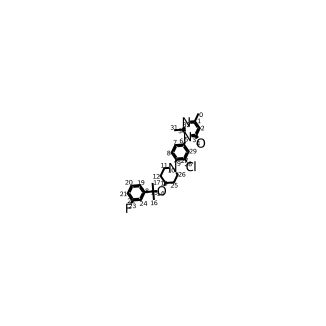 Cc1cc(=O)n(-c2ccc(N3CCC(OC(C)(C)c4cccc(F)c4)CC3)c(Cl)c2)c(C)n1